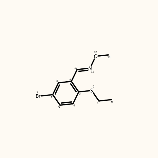 CCSc1ccc(Br)cc1/C=N/OC